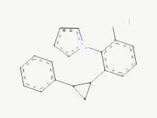 O=C(O)c1cccc(C2CC2c2ccccc2)c1-n1cccc1